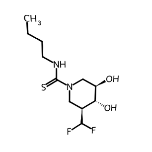 CCCCNC(=S)N1C[C@@H](O)[C@H](O)[C@@H](C(F)F)C1